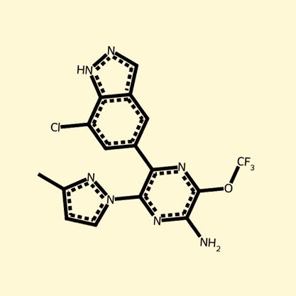 Cc1ccn(-c2nc(N)c(OC(F)(F)F)nc2-c2cc(Cl)c3[nH]ncc3c2)n1